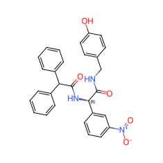 O=C(N[C@@H](C(=O)NCc1ccc(O)cc1)c1cccc([N+](=O)[O-])c1)C(c1ccccc1)c1ccccc1